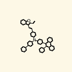 C=Cc1oc2ccccc2c1/C=C/c1ccc(N(c2ccc(-c3ccccc3)cc2)c2ccc(-c3c(-c4ccccc4)c4ccccc4c4ccccc34)cc2)cc1